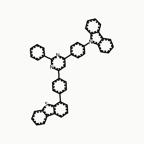 c1ccc(-c2nc(-c3ccc(-c4cccc5c4sc4ccccc45)cc3)cc(-c3ccc(-n4c5ccccc5c5ccccc54)cc3)n2)cc1